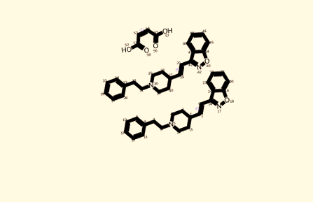 C(=C\C1CCN(CCc2ccccc2)CC1)/c1noc2ccccc12.C(=C\C1CCN(CCc2ccccc2)CC1)/c1noc2ccccc12.O=C(O)/C=C\C(=O)O